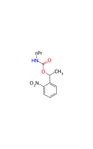 C[CH]CNC(=O)OC(C)c1ccccc1[N+](=O)[O-]